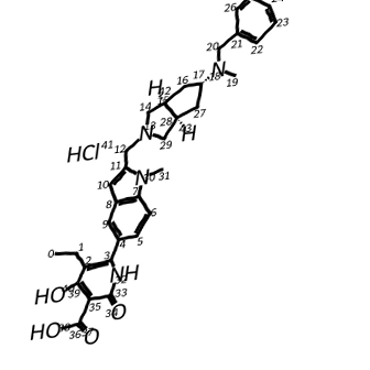 CCc1c(-c2ccc3c(c2)cc(CN2C[C@H]4C[C@H](N(C)Cc5ccccc5)C[C@H]4C2)n3C)[nH]c(=O)c(C(=O)O)c1O.Cl